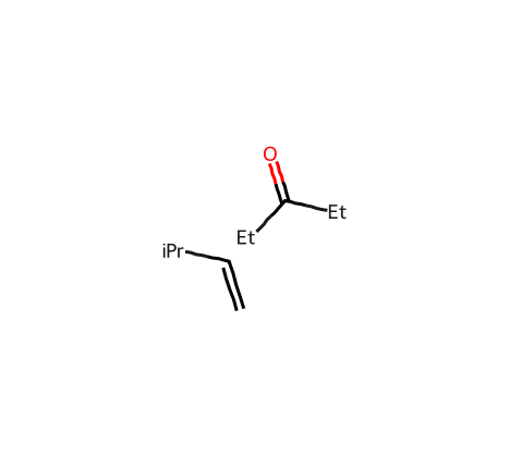 CCC(=O)CC.[CH2]C(C)C=C